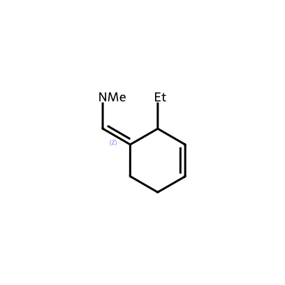 CCC1C=CCC/C1=C/NC